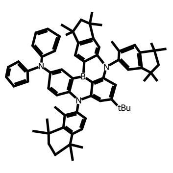 Cc1cc2c(cc1N1c3cc4c(cc3B3c5cc(N(c6ccccc6)c6ccccc6)ccc5N(c5ccc6c(c5C)C(C)(C)CCC6(C)C)c5cc(C(C)(C)C)cc1c53)C(C)(C)CC4(C)C)C(C)(C)CC2(C)C